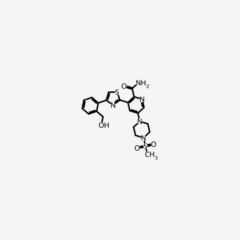 CS(=O)(=O)N1CCN(c2cnc(C(N)=O)c(-c3nc(-c4ccccc4CO)cs3)c2)CC1